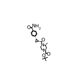 C[C@H]1CN(C(=O)OC(C)(C)C)CCN1C(=O)[C@H]1C[C@@H]1c1ccc(C(N)=O)cc1